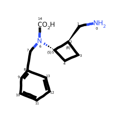 NC[C@H]1CC[C@@H]1N(Cc1ccccc1)C(=O)O